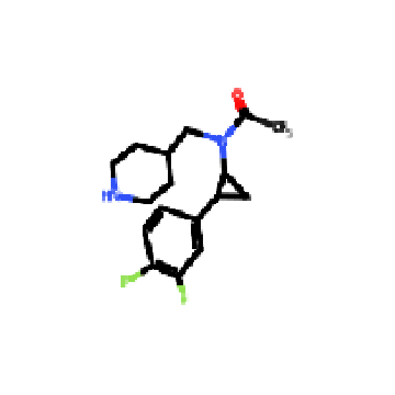 O=C(N(CC1CCNCC1)C1CC1c1ccc(F)c(F)c1)C(F)(F)F